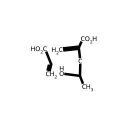 C=C(CC(C)O)C(=O)O.C=CC(=O)O